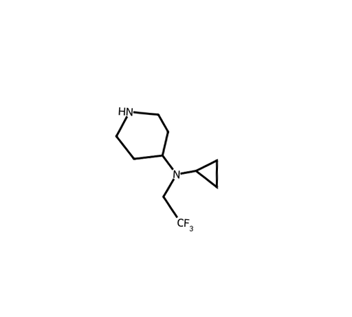 FC(F)(F)CN(C1CCNCC1)C1CC1